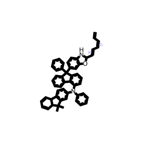 C=C/C=C\C=C\C1Nc2ccc(C3(c4ccccc4)c4ccccc4-c4c(N(c5ccccc5)c5ccc6c(c5)C(C)(C)C5C=CC=CC65)cccc43)cc2O1